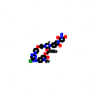 CNC(=O)COc1cc2cc(Nc3nc(N4CCC(O[C@H]5C[C@H](N6C[C@H](C)N(c7ccc8c(c7)CN(C7CCC(=O)NC7=O)C8=O)[C@@H](C)C6)C5)CC4)ncc3Cl)ccc2n(C(C)C)c1=O